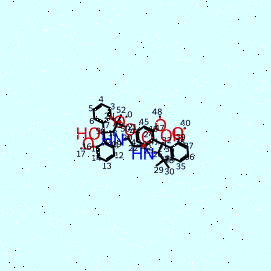 COc1ccccc1C(O)(c1ccccc1OC)[C@H](NC(=O)CC(=O)N[C@H](C(C)(C)C)C(O)(c1ccccc1OC)c1ccccc1OC)C(C)(C)C